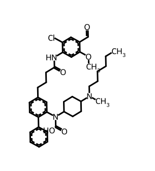 CCCCCCN(C)C1CCC(N(C(=O)O)c2cc(CCCC(=O)Nc3cc(OC)c(C=O)cc3Cl)ccc2-c2ccccc2)CC1